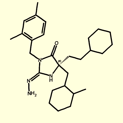 Cc1ccc(CN2C(=O)[C@@](CCC3CCCCC3)(CC3CCCCC3C)NC2=NN)c(C)c1